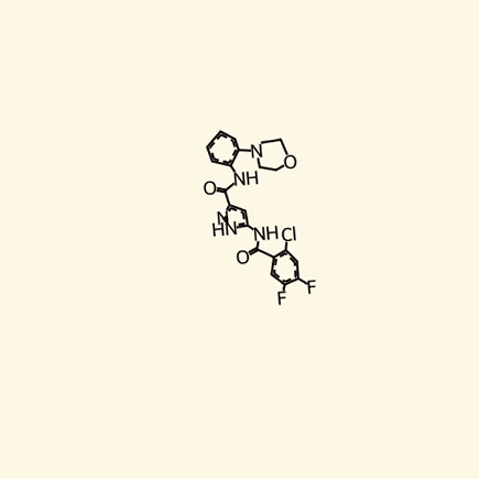 O=C(Nc1ccccc1N1CCOCC1)c1cc(NC(=O)c2cc(F)c(F)cc2Cl)[nH]n1